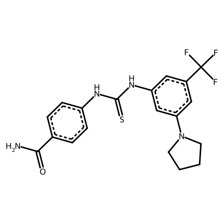 NC(=O)c1ccc(NC(=S)Nc2cc(N3CCCC3)cc(C(F)(F)F)c2)cc1